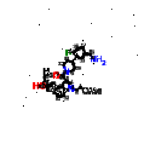 COCCn1cc(C(=O)N2CCC(c3cc(CN)ccc3F)CC2)c2c(C[Si](C)(C)O)cccc21